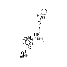 C=C(CCCCCCCNC(=C)C(N)CCCCN(N)/C1=C(\N)C2=C(C=CCC=C2)CN(C(=O)CCCCC(=O)NCC)c2ccccc21)CCC(=O)NC1CCCCCCCCC1